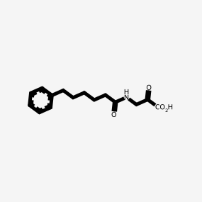 O=C(CCCCCc1ccccc1)NCC(=O)C(=O)O